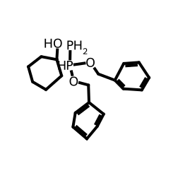 OC1([PH](P)(OCc2ccccc2)OCc2ccccc2)CCCCC1